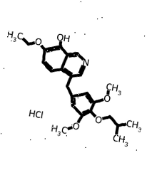 CCOc1ccc2c(Cc3cc(OC)c(OCC(C)C)c(OC)c3)cncc2c1O.Cl